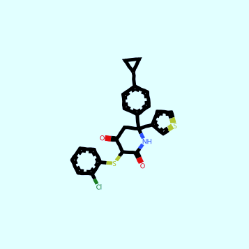 O=C1CC(c2ccc(C3CC3)cc2)(c2ccsc2)NC(=O)C1Sc1ccccc1Cl